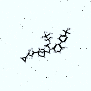 CC(C)(O)c1ccc(-c2cc(N(CC34CCC(c5nc(C6CC6)no5)(CC3)CC4)C(=O)OC(C)(C)C(F)(F)F)ncc2F)cc1